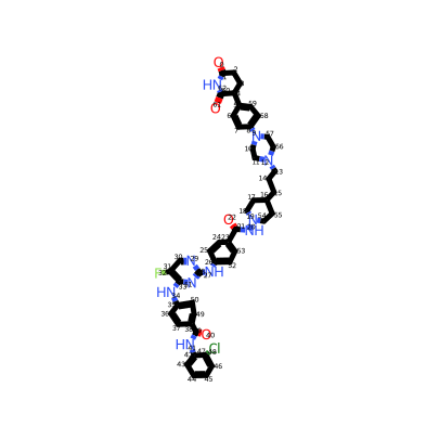 O=C1CCC(c2ccc(N3CCN(CCCC4CCN(NC(=O)c5ccc(Nc6ncc(F)c(Nc7ccc(C(=O)Nc8ccccc8Cl)cc7)n6)cc5)CC4)CC3)cc2)C(=O)N1